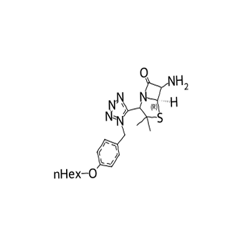 CCCCCCOc1ccc(Cn2nnnc2C2N3C(=O)C(N)[C@H]3SC2(C)C)cc1